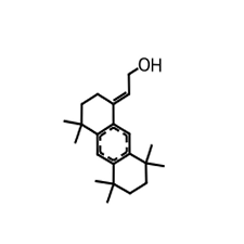 CC1(C)CCC(=CCO)c2cc3c(cc21)C(C)(C)CCC3(C)C